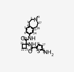 CN1CCc2ccc(NC(=O)C3(NC(=O)c4ccc(N)s4)CCC3)cc2CC1